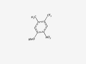 COc1cc(C)c(C(F)(F)F)cc1[N+](=O)[O-]